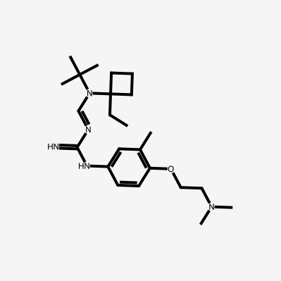 CCC1(N(/C=N/C(=N)Nc2ccc(OCCN(C)C)c(C)c2)C(C)(C)C)CCC1